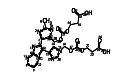 Cc1nc(-c2nc3ncccn3c2-c2cn(COC(=O)OCCC(=O)O)cn2)n(COC(=O)OCCC(=O)O)n1